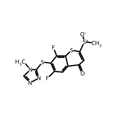 Cn1cnnc1Sc1c(F)cc2c(=O)cc([S+](C)[O-])sc2c1F